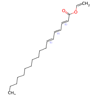 C=COC(=O)/C=C/C=C/C=C/CCCCCCCCCCC